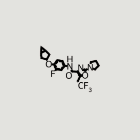 O=C(Nc1ccc(OC2CC3CC3C2)c(F)c1)c1nc(N2CCCC2)oc1CC(F)(F)F